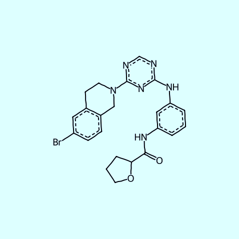 O=C(Nc1cccc(Nc2ncnc(N3CCc4cc(Br)ccc4C3)n2)c1)C1CCCO1